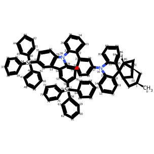 C[C@H]1CC2C[C@@]3(C1)C[C@H]3C21c2ccccc2N(c2cccc(-c3ccccc3-n3c4ccc([Si](c5ccccc5)(c5ccccc5)c5ccccc5)cc4c4cc([Si](c5ccccc5)(c5ccccc5)c5ccccc5)ccc43)c2)c2ccccc21